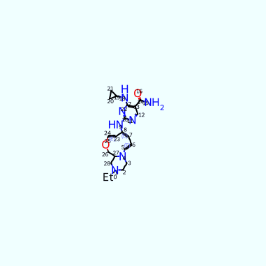 CCN1CCN2/C=C/C=C(Nc3ncc(C(N)=O)c(NC4CC4)n3)\C=C\OCC2C1